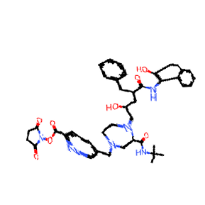 CC(C)(C)NC(=O)C1CN(Cc2ccc(C(=O)ON3C(=O)CCC3=O)nc2)CCN1CC(O)CC(Cc1ccccc1)C(=O)NC1c2ccccc2CC1O